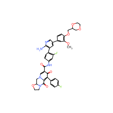 COc1cc(-c2cnc(N)c(-c3ccc(NC(=O)c4cn5c(c(-c6ccc(F)cc6)c4=O)C(=O)N4CCOC4C5)cc3F)c2)ccc1OCC1COCCO1